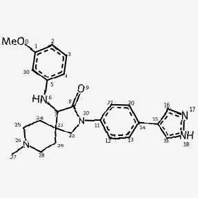 COc1cccc(NC2C(=O)N(c3ccc(-c4cn[nH]c4)cc3)CC23CCN(C)CC3)c1